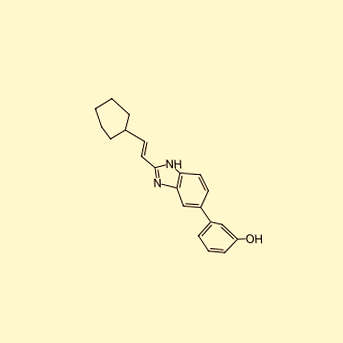 Oc1cccc(-c2ccc3[nH]c(/C=C/C4CCCCC4)nc3c2)c1